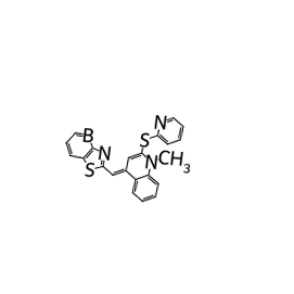 CN1C(Sc2ccccn2)=C/C(=C\c2nc3bcccc3s2)c2ccccc21